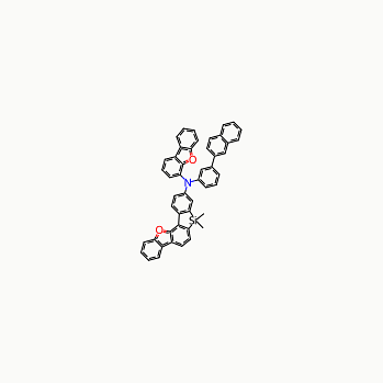 C[Si]1(C)c2cc(N(c3cccc(-c4ccc5ccccc5c4)c3)c3cccc4c3oc3ccccc34)ccc2-c2c1ccc1c2oc2ccccc21